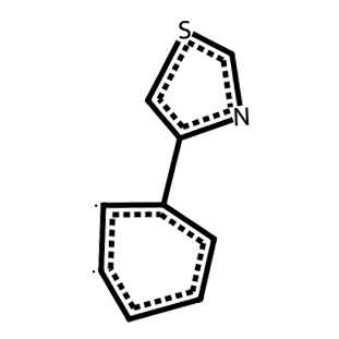 [c]1[c]c(-c2cscn2)ccc1